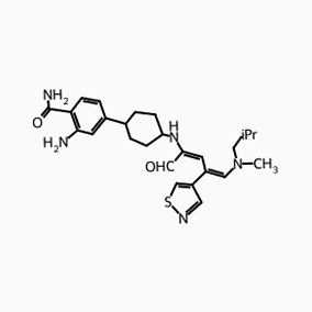 CC(C)CN(C)/C=C(\C=C(/C=O)NC1CCC(c2ccc(C(N)=O)c(N)c2)CC1)c1cnsc1